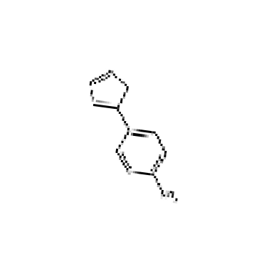 O=[N+]([O-])c1ccc(C2=CC=CC2)cc1